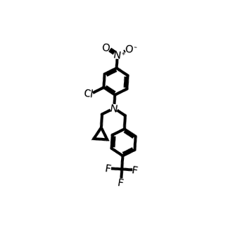 O=[N+]([O-])c1ccc(N(Cc2ccc(C(F)(F)F)cc2)CC2CC2)c(Cl)c1